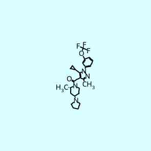 Cc1nn(-c2cccc(OC(F)(F)F)c2)c(C2CC2)c1C(=O)N1CC[C@@H](N2CCCC2)C[C@@H]1C